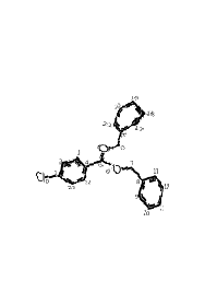 Clc1ccc(C(OCc2ccccc2)OCc2ccccc2)cc1